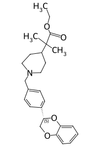 CCOC(=O)C(C)(C)C1CCN(Cc2ccc([C@H]3COc4ccccc4O3)cc2)CC1